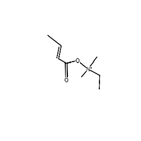 C/C=C/C(=O)O[N+](C)(C)CC